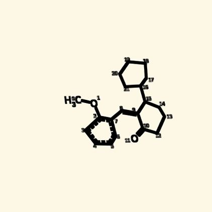 COc1ccccc1C=C1C(=O)CCCC1C1CCCCC1